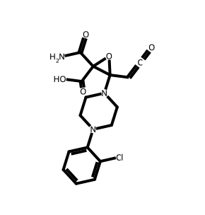 NC(=O)C1(C(=O)O)OC1(C=C=O)N1CCN(c2ccccc2Cl)CC1